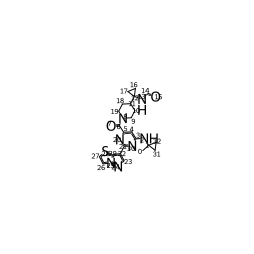 CC1(Nc2cc(C(=O)N3CCC(C4(NC=O)CC4)CC3)nc(-c3cnn4ccsc34)n2)CC1